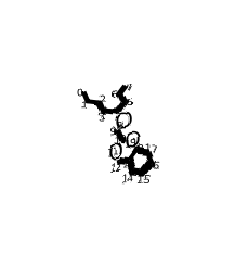 CCCCC(CCC)OCC1OCc2ccccc2O1